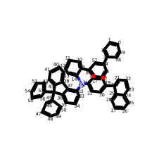 c1ccc(-c2cccc(-c3ccccc3N(c3ccc(-c4cccc5ccccc45)cc3)c3cccc4c3-c3ccccc3C4(c3ccccc3)c3ccccc3)c2)cc1